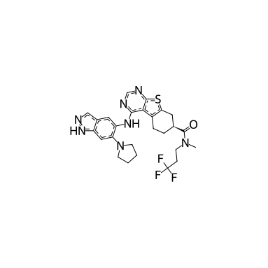 CN(CCC(F)(F)F)C(=O)[C@H]1CCc2c(sc3ncnc(Nc4cc5cn[nH]c5cc4N4CCCC4)c23)C1